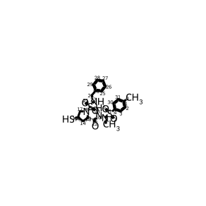 Cc1ccc(S(=O)(=O)N(C)NC(=O)[C@@H]2C[C@@H](S)CN2S(=O)(=O)NCc2ccccc2)cc1